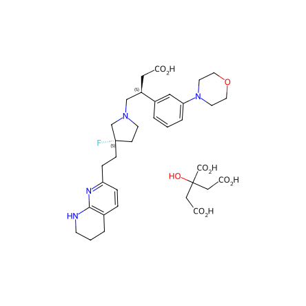 O=C(O)CC(O)(CC(=O)O)C(=O)O.O=C(O)C[C@H](CN1CC[C@@](F)(CCc2ccc3c(n2)NCCC3)C1)c1cccc(N2CCOCC2)c1